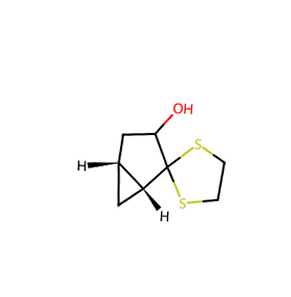 OC1C[C@H]2C[C@H]2C12SCCS2